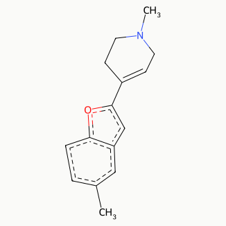 Cc1ccc2oc(C3=CCN(C)CC3)cc2c1